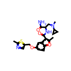 Cc1ncc(COc2ccc3oc(C)c(C(=O)NC(CN(C)C4CC4)C(N)=O)c3c2)s1